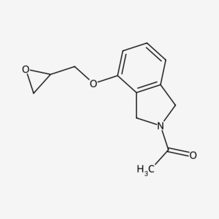 CC(=O)N1Cc2cccc(OCC3CO3)c2C1